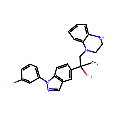 CC(O)(CN1CCNc2ccccc21)c1ccc2c(cnn2-c2cccc(F)c2)c1